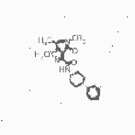 Cc1cn(C)c(=O)c2c(C(=O)N[C@H]3CC[C@@H](c4ccccc4)CC3)nn(C)c12